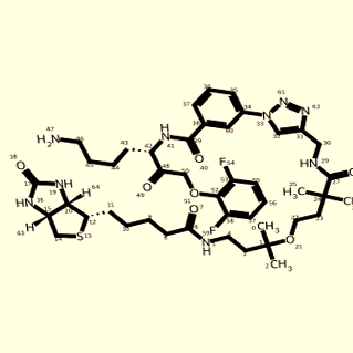 CC(C)(CCNC(=O)CCCC[C@@H]1SC[C@@H]2NC(=O)N[C@@H]21)OCCC(C)(C)C(=O)NCc1cn(-c2cccc(C(=O)N[C@@H](CCCCN)C(=O)COc3c(F)cccc3F)c2)nn1